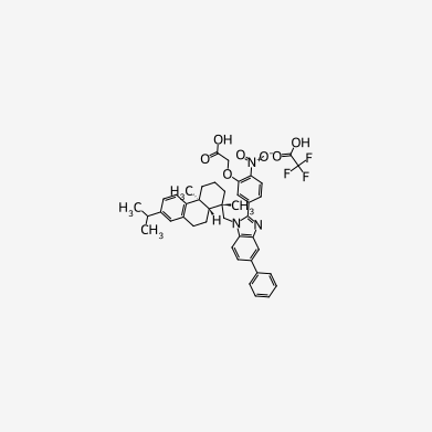 CC(C)c1ccc2c(c1)CC[C@H]1[C@@](C)(Cn3c(-c4ccc([N+](=O)[O-])c(OCC(=O)O)c4)nc4cc(-c5ccccc5)ccc43)CCC[C@]21C.O=C(O)C(F)(F)F